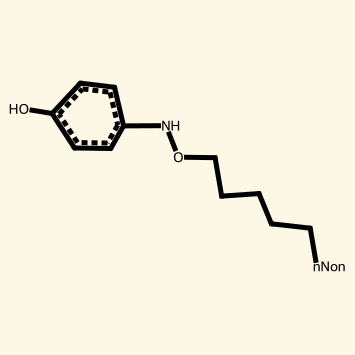 CCCCCCCCCCCCCCONc1ccc(O)cc1